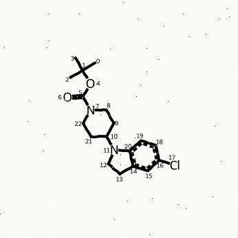 CC(C)(C)OC(=O)N1CCC(N2CCc3cc(Cl)ccc32)CC1